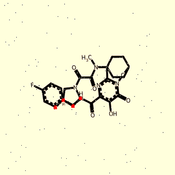 CN(C(=O)C(=O)N1CC[C@@H](F)C1)C12CCC(CC1)Cn1c2nc(C(=O)NCc2ccc(F)cc2)c(O)c1=O